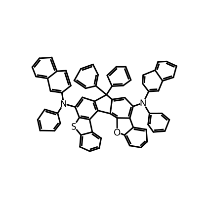 c1ccc(N(c2ccc3ccccc3c2)c2cc3c(c4c2sc2ccccc24)-c2c(cc(N(c4ccccc4)c4ccc5ccccc5c4)c4c2oc2ccccc24)C3(c2ccccc2)c2ccccc2)cc1